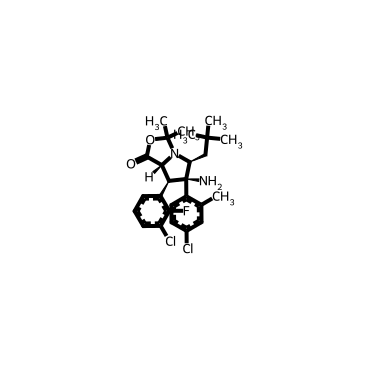 Cc1cc(Cl)ccc1[C@@]1(N)[C@H](CC(C)(C)C)N2[C@@H](C(=O)OC2(C)C)[C@@H]1c1cccc(Cl)c1F